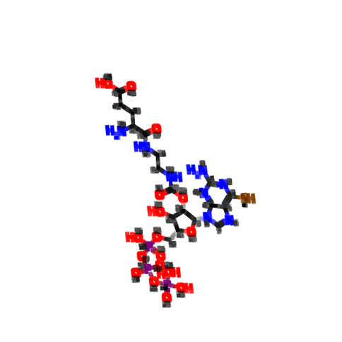 Nc1nc(S)c2ncn([C@@H]3O[C@H](COP(=O)(O)OP(=O)(O)OP(=O)(O)O)C(O)[C@@H]3OC(=O)NCCNC(=O)C(N)CCC(=O)O)c2n1